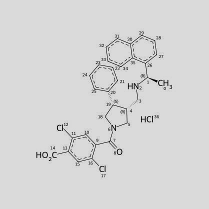 C[C@@H](NC[C@@H]1CN(C(=O)c2cc(Cl)c(C(=O)O)cc2Cl)C[C@@H]1c1ccccc1)c1cccc2ccccc12.Cl